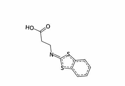 O=C(O)CCN=c1sc2ccccc2s1